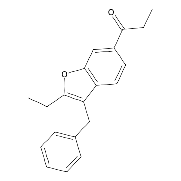 CCC(=O)c1ccc2c(Cc3ccccc3)c(CC)oc2c1